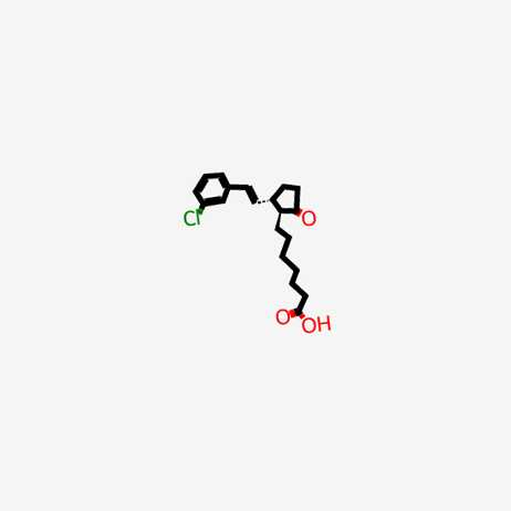 O=C(O)CCCCCC[C@@H]1C(=O)CC[C@H]1C=Cc1cccc(Cl)c1